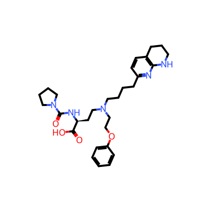 O=C(O)[C@H](CCN(CCCCc1ccc2c(n1)NCCC2)CCOc1ccccc1)NC(=O)N1CCCC1